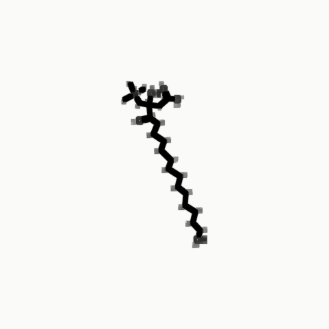 C[N+](C)(C)CC(O)(CC(=O)[O-])C(=O)CCCCCCCCCCCCCO